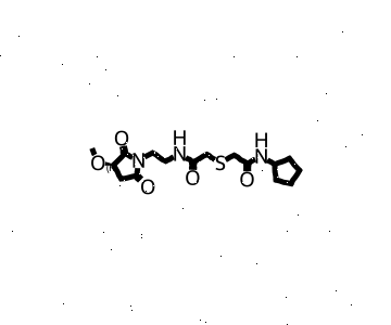 CO[C@@H]1CC(=O)N(CCNC(=O)CSCC(=O)NC2CCCC2)C1=O